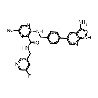 N#Cc1cnc(NCc2ccc(-c3cnc4[nH]nc(N)c4c3)cc2)c(C(=O)NCc2cncc(F)c2)n1